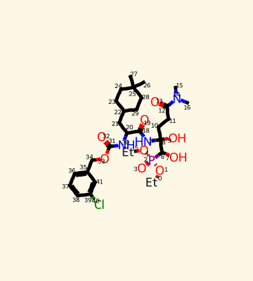 CCOP(=O)(OCC)C(O)C(O)(CCC(=O)N(C)C)NC(=O)C(CC1CCC(C)(C)CC1)NC(=O)OCc1cccc(Cl)c1